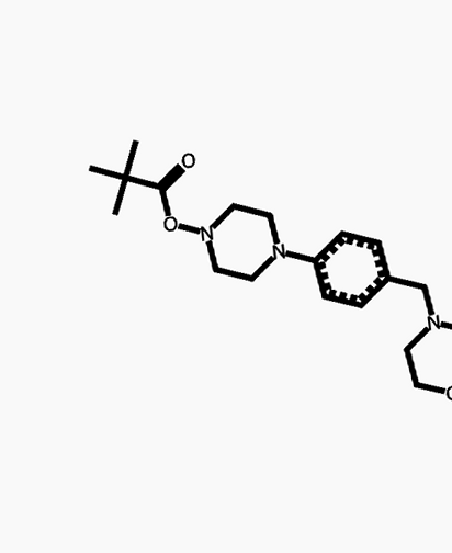 CC(C)(C)C(=O)ON1CCN(c2ccc(CN3CCOCC3)cc2)CC1